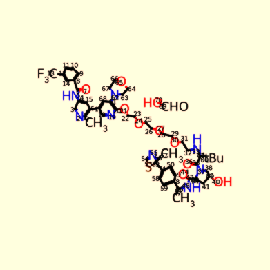 Cc1ncc(NC(=O)c2cccc(C(F)(F)F)c2)cc1-c1cnc(OCCOCCOCCOCCN[C@@H](C(=O)N2C[C@H](O)C[C@H]2C(=O)N[C@@H](C)c2ccc(-c3scnc3C)cc2)C(C)(C)C)c(N2CCOCC2)c1.O=CO